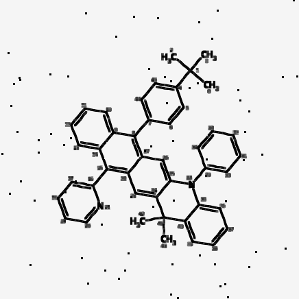 CC(C)(C)c1ccc(-c2c3ccccc3c(-c3ccccn3)c3cc4c(cc23)N(c2ccccc2)c2ccccc2C4(C)C)cc1